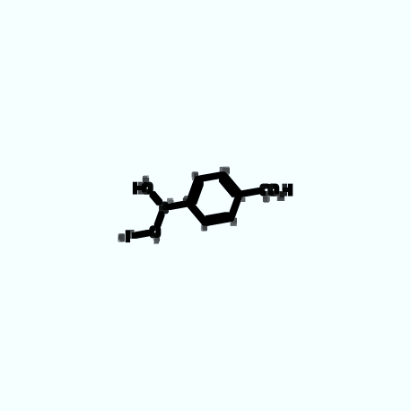 O=C(O)c1ccc(B(O)OF)cc1